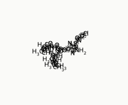 C[C@H](NC(=O)OC(C)(C)C)C(=O)NCCC(=O)OC[C@H](COc1ccc(-c2c(C#N)c(N)nc(SCc3coc(-c4ccc(Cl)cc4)n3)c2C#N)cc1)OC(=O)CCNC(=O)[C@H](C)NC(=O)OC(C)(C)C